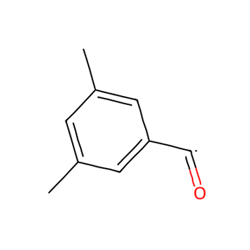 Cc1cc(C)cc([C]=O)c1